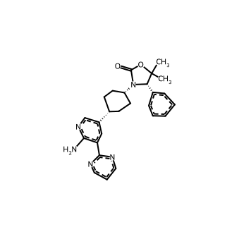 CC1(C)OC(=O)N([C@H]2CC[C@@H](c3cnc(N)c(-c4ncccn4)c3)CC2)[C@H]1c1ccccc1